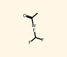 CC(=O)Br.FC(F)F